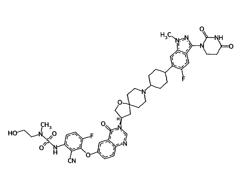 CN(CCO)S(=O)(=O)Nc1ccc(F)c(Oc2ccc3ncn([C@H]4COC5(CCN(C6CCC(c7cc8c(cc7F)c(N7CCC(=O)NC7=O)nn8C)CC6)CC5)C4)c(=O)c3c2)c1C#N